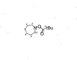 CC(C)(C)C(=O)ON1CCCCCC1